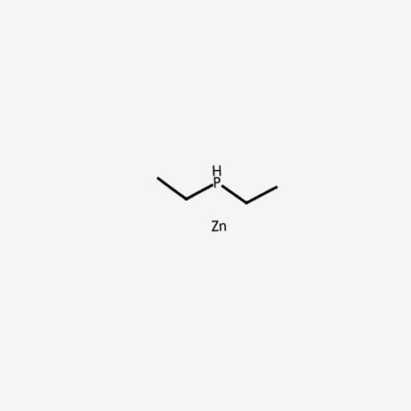 CCPCC.[Zn]